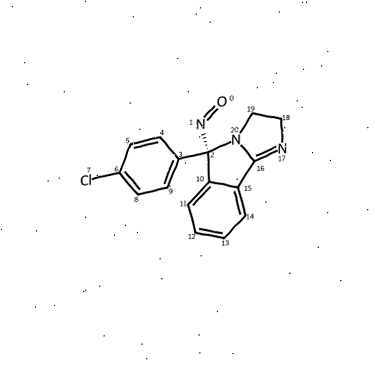 O=N[C@@]1(c2ccc(Cl)cc2)c2ccccc2C2=NCCN21